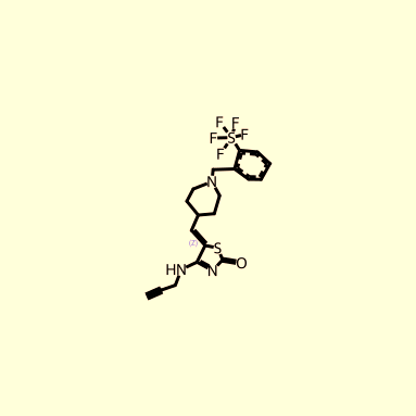 C#CCNC1=NC(=O)S/C1=C\C1CCN(Cc2ccccc2S(F)(F)(F)(F)F)CC1